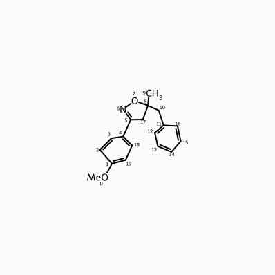 COc1ccc(C2=NOC(C)(Cc3ccccc3)C2)cc1